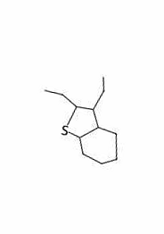 CCC1SC2CCCCC2C1CC